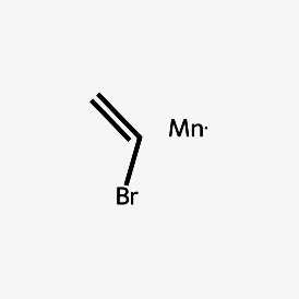 C=CBr.[Mn]